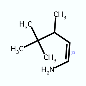 CC(/C=C\N)C(C)(C)C